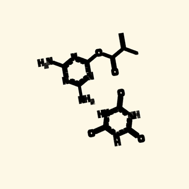 C=C(C)C(=O)Oc1nc(N)nc(N)n1.O=c1[nH]c(=O)[nH]c(=O)[nH]1